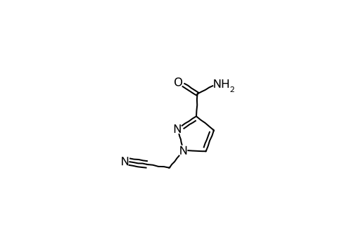 N#CCn1ccc(C(N)=O)n1